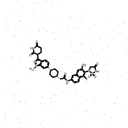 Cn1nc(C2CCC(=O)NC2=O)c2ccc([C@H]3CC[C@@H](CC(=O)Nc4ccc5c(F)c(N6CC(=O)NS6(=O)=O)c(O)cc5c4)CC3)cc21